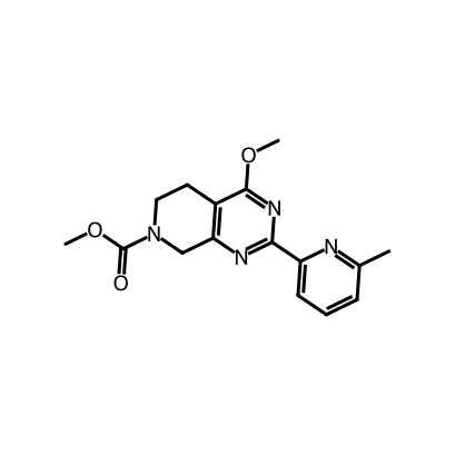 COC(=O)N1CCc2c(nc(-c3cccc(C)n3)nc2OC)C1